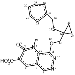 Cn1c(=O)c(C(=O)O)cc2cnnc(OCC3(SCc4ccccc4)CC3)c21